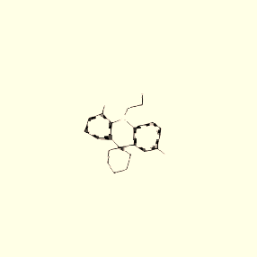 O=C(O)CCN1c2ccc(Cl)cc2C2(CCCCC2)c2cccc(Cl)c21